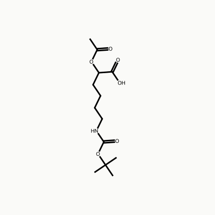 CC(=O)OC(CCCCNC(=O)OC(C)(C)C)C(=O)O